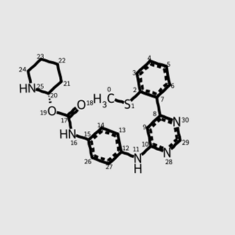 CSc1ccccc1-c1cc(Nc2ccc(NC(=O)O[C@H]3CCCCN3)cc2)ncn1